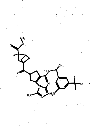 COC(=O)[C@H]1CC2(C(=O)N3Cc4c(NC(C)c5cc(N)cc(C(F)(F)F)c5)nc5nnc(C)n5c4C3)CC1C2